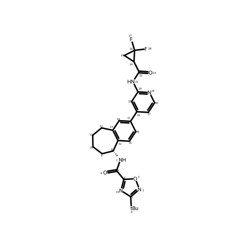 CC(C)(C)c1noc(C(=O)N[C@@H]2CCCCc3cc(-c4ccnc(NC(=O)C5CC5(F)F)c4)ccc32)n1